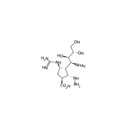 BN[C@H]1[C@@H]([C@H](NC(C)=O)[C@@H](O)[C@@H](O)CO)[C@H](NC(=N)N)C[C@@H]1C(=O)O